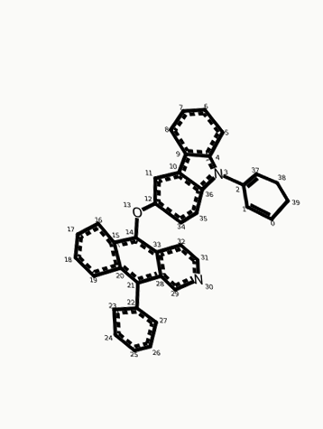 C1=CC(n2c3ccccc3c3cc(Oc4c5ccccc5c(-c5ccccc5)c5cnccc45)ccc32)=CCC1